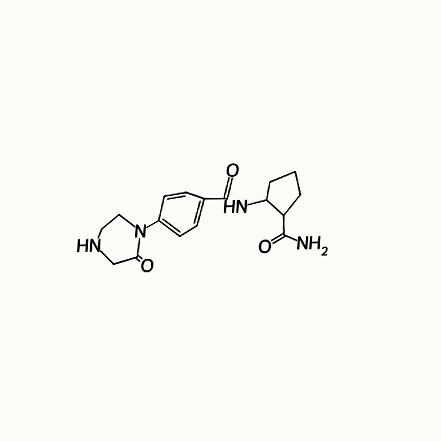 NC(=O)C1CCCC1NC(=O)c1ccc(N2CCNCC2=O)cc1